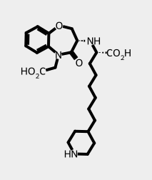 O=C(O)CN1C(=O)[C@@H](N[C@@H](CCCCCCC2CCNCC2)C(=O)O)COc2ccccc21